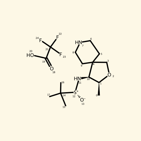 C[C@@H]1OCC2(CCNCC2)[C@@H]1N[S@+]([O-])C(C)(C)C.O=C(O)C(F)(F)F